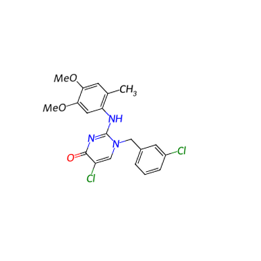 COc1cc(C)c(Nc2nc(=O)c(Cl)cn2Cc2cccc(Cl)c2)cc1OC